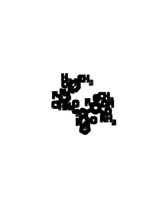 COc1c(O)c(C(N)=O)cc(-c2cn(CC(=O)Nc3cc(N4CCN(C)C[C@@H]4C)nc(F)c3Cl)c3nc4n(c(=O)c23)CCC4)c1F